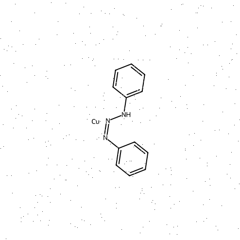 [Cu].c1ccc(/N=N\Nc2ccccc2)cc1